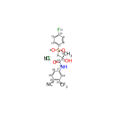 C[C@](O)(CS(=O)(=O)c1ccc(F)cc1)C(=O)Nc1ccc(C#N)c(C(F)(F)F)c1.[Cl-].[H+]